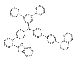 c1ccc(-c2cc(-c3ccccc3)cc(N(c3ccc(-c4ccc(-c5cccc6ccccc56)cc4)cc3)c3ccc(-c4ccccc4-c4cc5ccccc5o4)cc3)c2)cc1